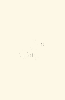 CN1CCC(Sc2ccccc2)(C(N)=O)C1=O